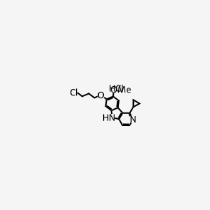 COc1cc2c(cc1OCCCCl)[nH]c1ccnc(C3CC3)c12.Cl